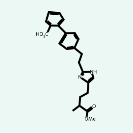 COC(=O)C(C)CCc1c[nH]c(CCc2ccc(-c3ccccc3C(=O)O)cc2)n1